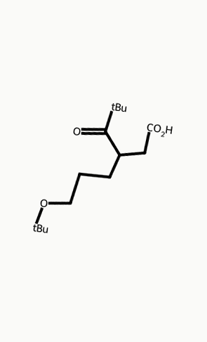 CC(C)(C)OCCCC(CC(=O)O)C(=O)C(C)(C)C